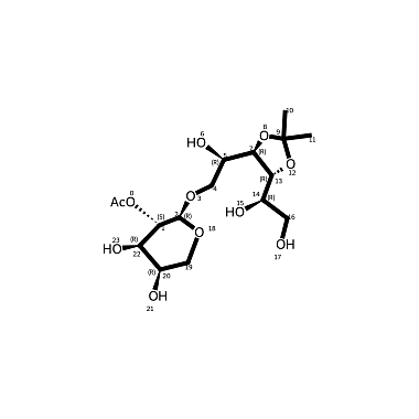 CC(=O)O[C@@H]1[C@@H](OC[C@@H](O)[C@H]2OC(C)(C)O[C@@H]2[C@H](O)CO)OC[C@@H](O)[C@H]1O